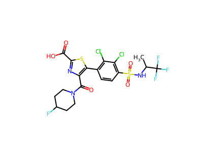 CC(NS(=O)(=O)c1ccc(-c2sc(C(=O)O)nc2C(=O)N2CCC(F)CC2)c(Cl)c1Cl)C(F)(F)F